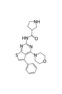 O=C(Nc1nc(N2CCOCC2)c2c(-c3ccccc3)csc2n1)C1CCNC1